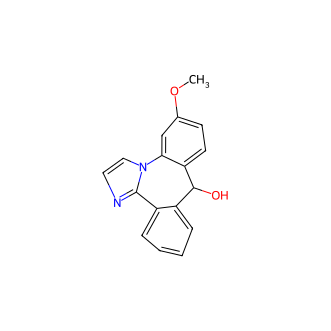 COc1ccc2c(c1)-n1ccnc1-c1ccccc1C2O